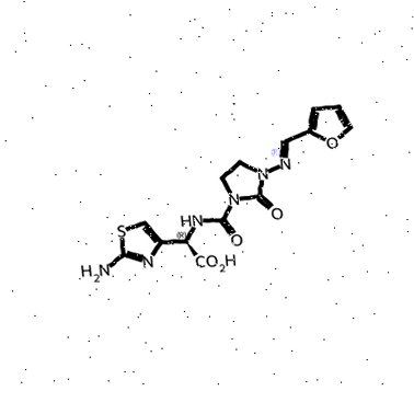 Nc1nc([C@@H](NC(=O)N2CCN(/N=C/c3ccco3)C2=O)C(=O)O)cs1